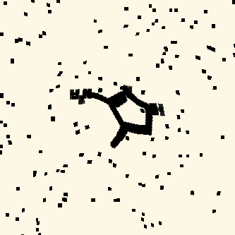 Cc1c[nH]nc1N